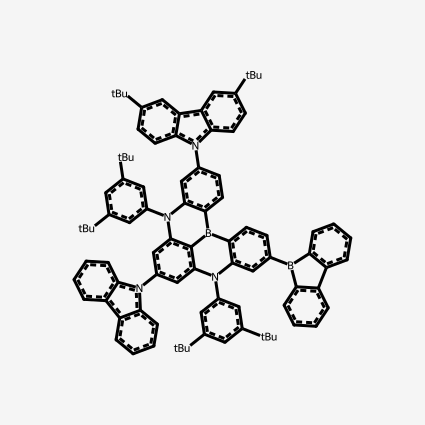 CC(C)(C)c1cc(N2c3cc(B4c5ccccc5-c5ccccc54)ccc3B3c4ccc(-n5c6ccc(C(C)(C)C)cc6c6cc(C(C)(C)C)ccc65)cc4N(c4cc(C(C)(C)C)cc(C(C)(C)C)c4)c4cc(-n5c6ccccc6c6ccccc65)cc2c43)cc(C(C)(C)C)c1